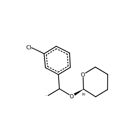 [CH2]C(O[C@@H]1CCCCO1)c1cccc(Cl)c1